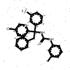 Cc1cccc(NC(=O)NC(Cc2ccccc2)(c2cccc(C(F)(F)F)c2)c2ccc(Cl)cn2)c1